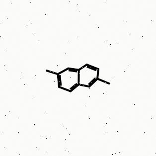 Cc1[c]c2ccc(C)cc2cc1